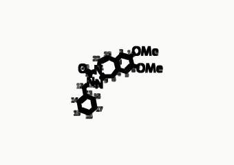 COc1cc2c(cc1OC)Cc1nn(Cc3ccccc3)c(=O)n1C=C2